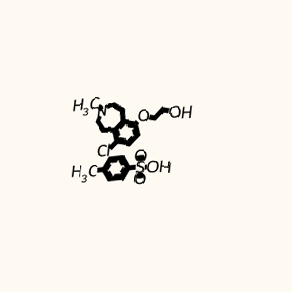 CN1CCc2c(Cl)ccc(OCCO)c2CC1.Cc1ccc(S(=O)(=O)O)cc1